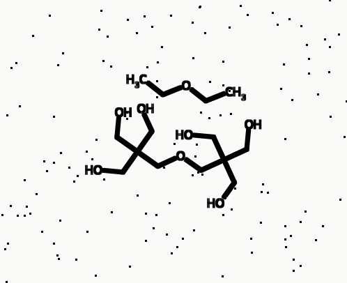 CCOCC.OCC(CO)(CO)COCC(CO)(CO)CO